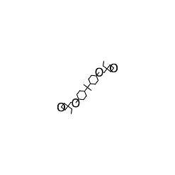 CCC1(COC2CCC(C(C)(C)C3CCC(OCC4(CC)COC4)CC3)CC2)COC1